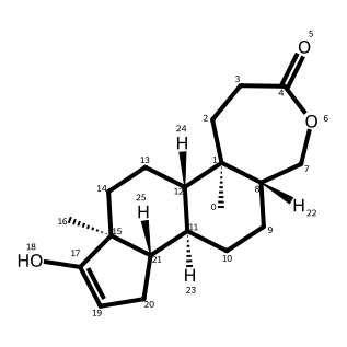 C[C@]12CCC(=O)OC[C@@H]1CC[C@@H]1[C@@H]2CC[C@]2(C)C(O)=CC[C@@H]12